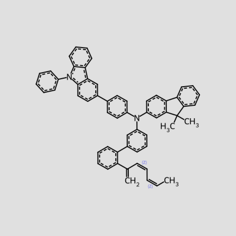 C=C(/C=C\C=C/C)c1ccccc1-c1cccc(N(c2ccc(-c3ccc4c(c3)c3ccccc3n4-c3ccccc3)cc2)c2ccc3c(c2)C(C)(C)c2ccccc2-3)c1